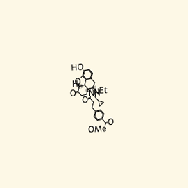 CCN(CC1CC1)[C@@H]1Cc2ccc(O)c3c2C2[C@@H](O3)C(=O)CC[C@]21NC(=O)CCc1ccc(C(=O)OC)cc1